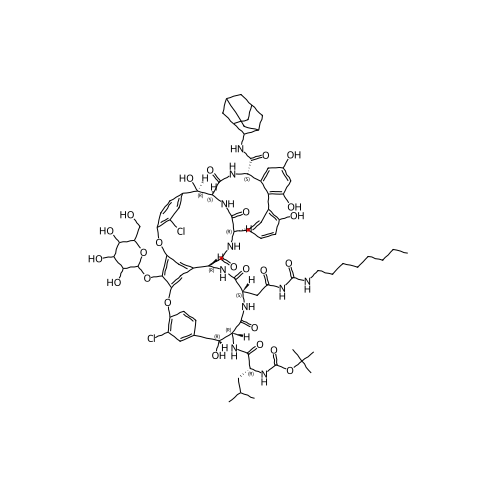 CCCCCCCCNC(=O)NC(=O)C[C@@H]1NC(=O)[C@H](NC(=O)[C@@H](CC(C)C)NC(=O)OC(C)(C)C)[C@H](O)c2ccc(c(Cl)c2)Oc2cc3cc(c2OC2OC(CO)C(O)C(O)C2O)Oc2ccc(cc2Cl)[C@@H](O)[C@@H]2NC(=O)[C@H](NC(=O)[C@@H]3NC1=O)c1ccc(O)c(c1)-c1c(O)cc(O)cc1[C@@H](C(=O)NC1C3CC4CC(C3)CC1C4)NC2=O